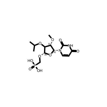 CO[C@H]1C(OC(C)C)[C@@H](OCP(=O)(O)O)O[C@H]1n1ccc(=O)[nH]c1=O